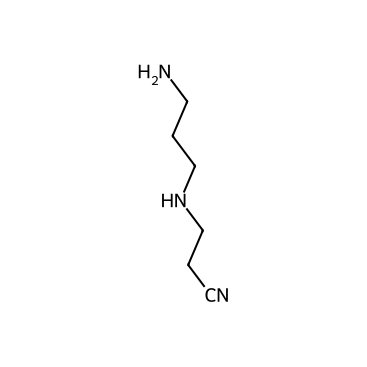 N#CCCNCCCN